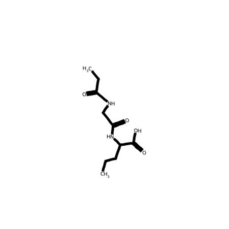 CCCC(NC(=O)CNC(=O)CC)C(=O)O